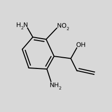 C=CC(O)c1c(N)ccc(N)c1[N+](=O)[O-]